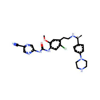 COc1cc(CCN[C@@H](C)c2ccc(N3CCNCC3)cc2)c(Cl)cc1NC(=O)Nc1cnc(C#N)cn1